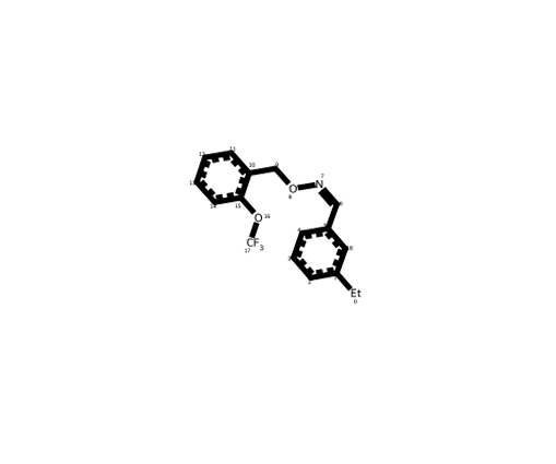 CCc1cccc(/[C]=N\OCc2ccccc2OC(F)(F)F)c1